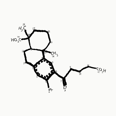 CC(C)c1cc2c(cc1C(=O)CCCC(=O)O)C1(C)CCCC(C)(C(=O)O)C1CC2